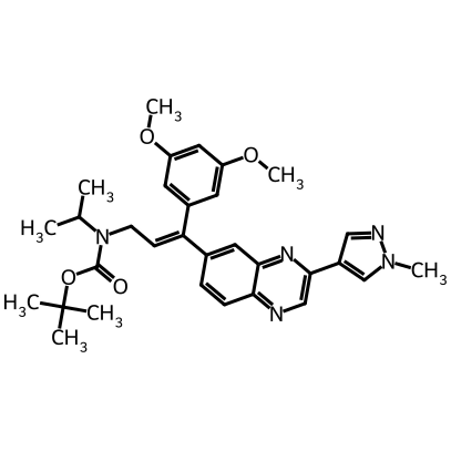 COc1cc(OC)cc(/C(=C\CN(C(=O)OC(C)(C)C)C(C)C)c2ccc3ncc(-c4cnn(C)c4)nc3c2)c1